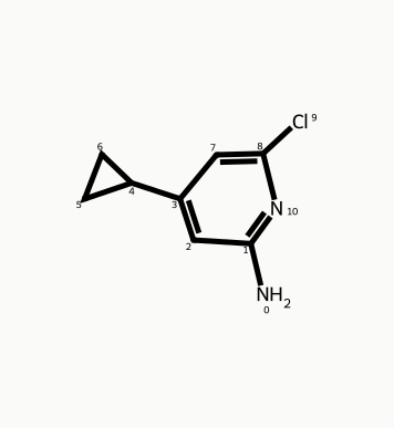 Nc1cc(C2CC2)cc(Cl)n1